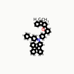 CC1(C)c2ccccc2-c2c1ccc1c2oc2c(C3=CC=C(N(c4ccc5c(c4)C(c4ccccc4)(C4C=CC=CC4)c4ccccc4-5)C4C=CC(C5C=CC=CC5)=CC4)CC3)cccc21